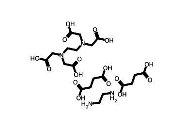 NCCN.O=C(O)CCC(=O)O.O=C(O)CCC(=O)O.O=C(O)CN(CCN(CC(=O)O)CC(=O)O)CC(=O)O